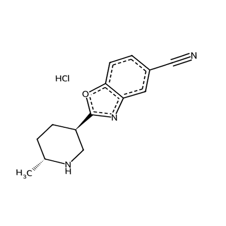 C[C@@H]1CC[C@@H](c2nc3cc(C#N)ccc3o2)CN1.Cl